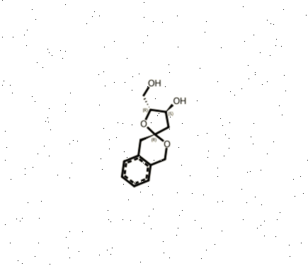 OC[C@H]1O[C@]2(Cc3ccccc3CO2)C[C@@H]1O